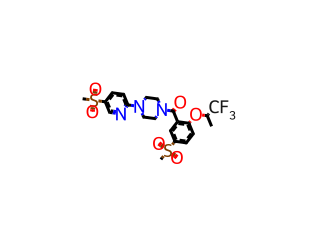 CC(Oc1ccc(S(C)(=O)=O)cc1C(=O)N1CCN(c2ccc(S(C)(=O)=O)cn2)CC1)C(F)(F)F